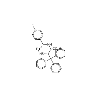 O=C(O)C(N[C@@H](c1ccc(F)cc1)C(F)(F)F)C(S)C(c1ccccc1)(c1ccccc1)c1ccccc1